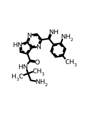 Cc1ccc(C(=N)c2cnc3[nH]cc(C(=O)NC(C)(C)CN)c3n2)c(N)c1